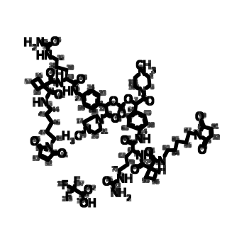 CN1CCN(C(=O)C(OC(=O)OC(C(=O)N2CCN(C)CC2)c2ccc(NC(=O)[C@H](CCCNC(N)=O)NC(=O)C3(C(=O)NCCCCCN4C(=O)C=CC4=O)CCC3)cc2)c2ccc(NC(=O)[C@H](CCCNC(N)=O)NC(=O)C3(C(=O)NCCCCCN4C(=O)C=CC4=O)CCC3)cc2)CC1.O=C(O)C(F)(F)F